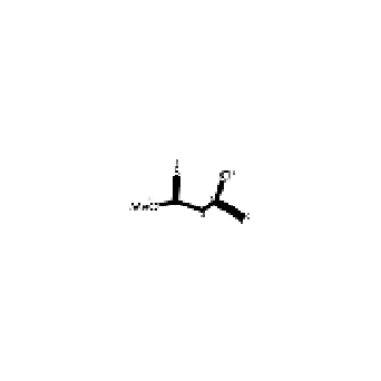 C=C(Cl)CC(=S)OC